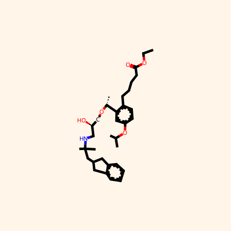 CCOC(=O)CCCCc1ccc(OC(C)C)cc1[C@@H](C)OC[C@H](O)CNC(C)(C)CC1Cc2ccccc2C1